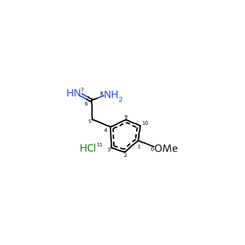 COc1ccc(CC(=N)N)cc1.Cl